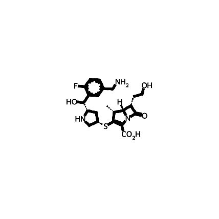 C[C@H]1C(S[C@@H]2CN[C@H](C(O)c3cc(CN)ccc3F)C2)=C(C(=O)O)N2C(=O)[C@@H](CCO)[C@@H]12